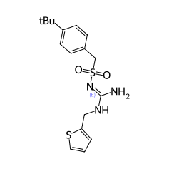 CC(C)(C)c1ccc(CS(=O)(=O)/N=C(\N)NCc2cccs2)cc1